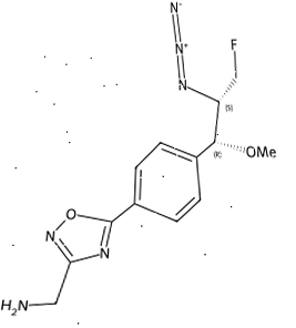 CO[C@H](c1ccc(-c2nc(CN)no2)cc1)[C@@H](CF)N=[N+]=[N-]